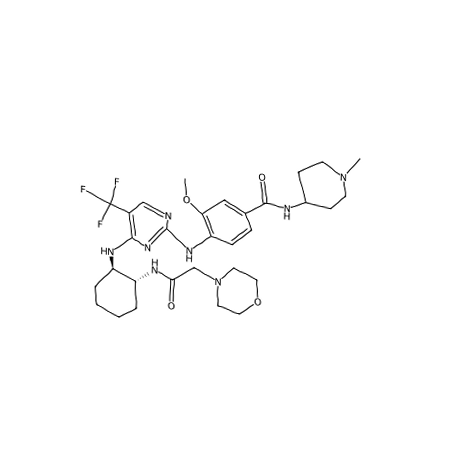 COc1cc(C(=O)NC2CCN(C)CC2)ccc1Nc1ncc(C(F)(F)F)c(N[C@@H]2CCCC[C@H]2NC(=O)CN2CCOCC2)n1